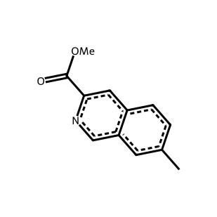 COC(=O)c1cc2ccc(C)cc2cn1